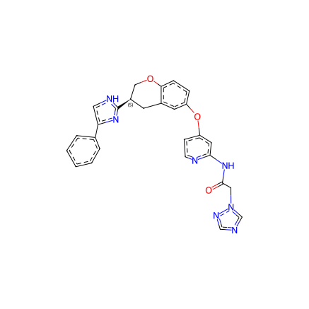 O=C(Cn1cncn1)Nc1cc(Oc2ccc3c(c2)C[C@@H](c2nc(-c4ccccc4)c[nH]2)CO3)ccn1